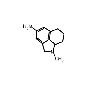 CN1Cc2cc(N)cc3c2C1CCC3